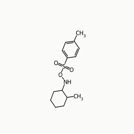 Cc1ccc(S(=O)(=O)ONC2CCCCC2C)cc1